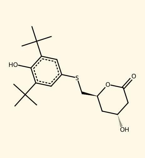 CC(C)(C)c1cc(SC[C@@H]2C[C@@H](O)CC(=O)O2)cc(C(C)(C)C)c1O